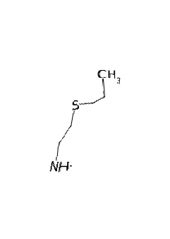 CCSCC[NH]